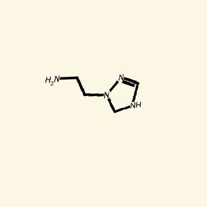 NCCN1CNC=N1